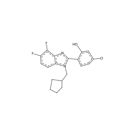 Oc1cc(Cl)ccc1-c1nc2c(F)c(F)ccc2n1CC1CCCC1